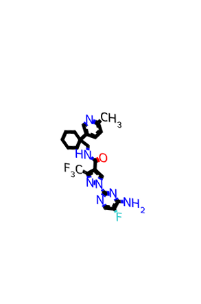 Cc1ccc(C2(CNC(=O)c3cn(-c4ncc(F)c(N)n4)nc3C(F)(F)F)CCCCC2)cn1